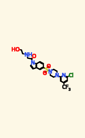 O=C(CNCCO)n1ccc2cc(S(=O)(=O)N3CCN(c4cc(C(F)(F)F)cc(Cl)n4)CC3)ccc21